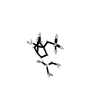 CC1(C)C2CCC1(CS(=O)(=O)[O-])C(=O)C2.CCCC[S+](CCCC)CC(C)=O